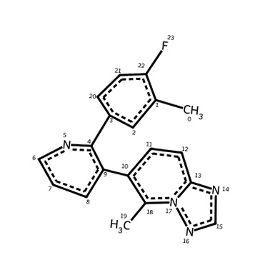 Cc1cc(-c2ncccc2-c2ccc3ncnn3c2C)ccc1F